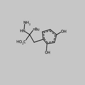 CCCCC(Cc1ccc(O)cc1O)(NN)C(=O)O